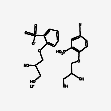 O=S(=O)([O-])c1ccccc1OCC(O)CO.[Li+].[Li][c]1ccc(OCC(O)CO)c(S(=O)(=O)O)c1